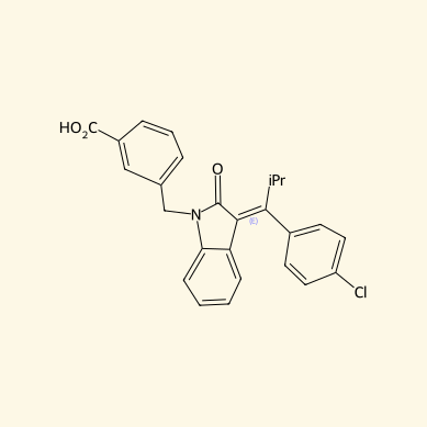 CC(C)/C(=C1\C(=O)N(Cc2cccc(C(=O)O)c2)c2ccccc21)c1ccc(Cl)cc1